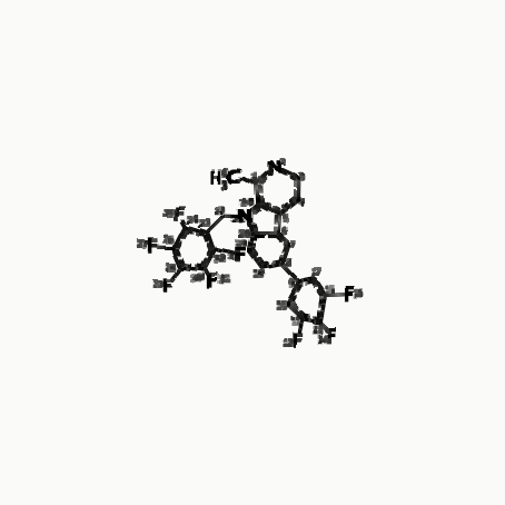 Cc1nccc2c3cc(-c4cc(F)c(F)c(F)c4)ccc3n(Cc3c(F)c(F)c(F)c(F)c3F)c12